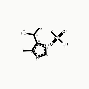 CS(=O)(=O)O.Cc1ncsc1C(C)O